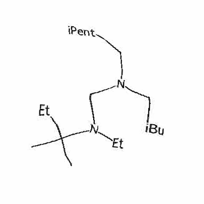 CCCC(C)CN(CC(C)CC)CN(CC)C(C)(C)CC